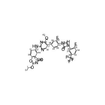 CCOC(=O)/N=[SH](=O)\c1cccc(Nc2ncc(-c3ccc(NC(=O)Nc4cc(C(F)(F)F)ccc4F)c(F)c3)c(OC)n2)c1